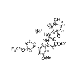 COc1cc(-c2cccc(OC(F)(F)F)c2)cc([C@H](CC(=O)[O-])NC(=O)NC2C(=O)C=CN(C)C2=O)c1.[Na+]